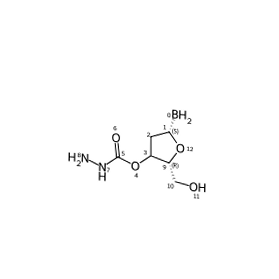 B[C@H]1CC(OC(=O)NN)[C@@H](CO)O1